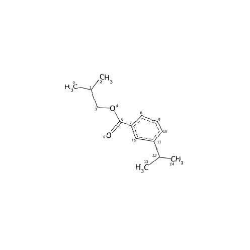 CC(C)COC(=O)c1cccc(C(C)C)c1